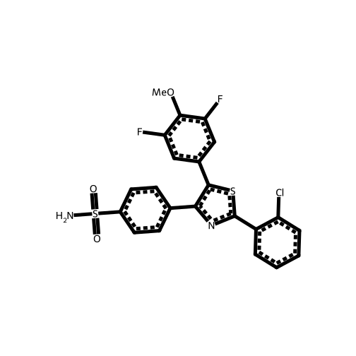 COc1c(F)cc(-c2sc(-c3ccccc3Cl)nc2-c2ccc(S(N)(=O)=O)cc2)cc1F